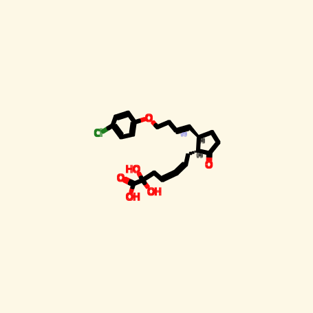 O=C1CC[C@H](/C=C/CCOc2ccc(Cl)cc2)[C@H]1CC=C=CCC(O)(O)C(=O)O